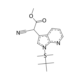 COC(=O)C(C#N)c1cn(S(C)(C)C(C)(C)C)c2ncccc12